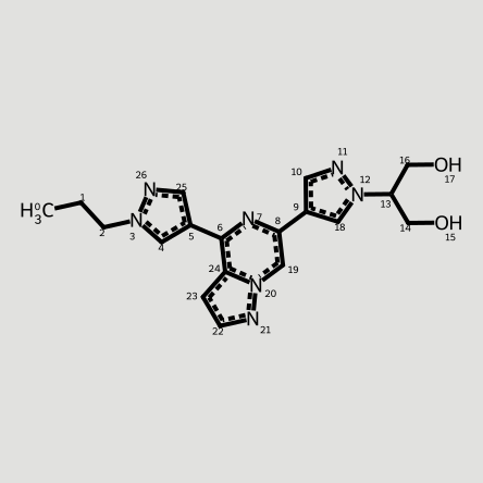 CCCn1cc(-c2nc(-c3cnn(C(CO)CO)c3)cn3nccc23)cn1